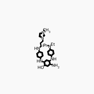 CCN(c1ccc(Nc2cc(Nc3ccc(NCCCn4cc[n+](C)c4)cc3)c(O)cc2N)cc1)C(C)C